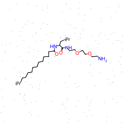 CC(C)CCCCCCCCCCCC(=O)NC(CC(C)C)C(=O)NCCOCCOCCN